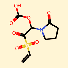 C=CS(=O)(=O)C(=O)C(OC(=O)O)N1CCCC1=O